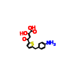 Nc1ccc(Cc2ccc(C(=O)/C=C(\O)C(=O)O)s2)cc1